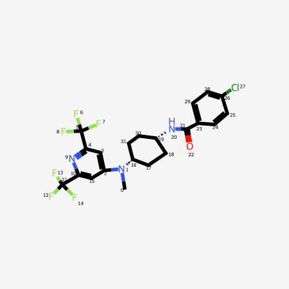 CN(c1cc(C(F)(F)F)nc(C(F)(F)F)c1)[C@H]1CC[C@@H](NC(=O)c2ccc(Cl)cc2)CC1